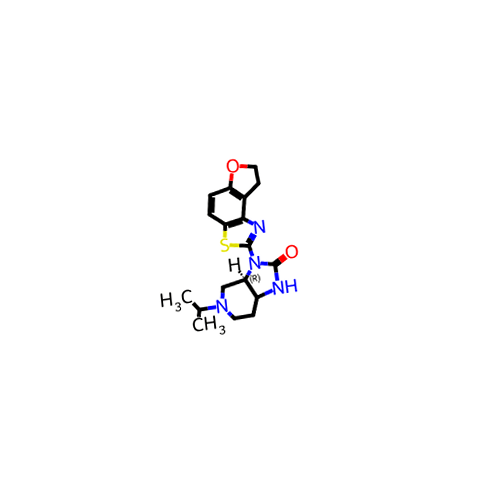 CC(C)N1CCC2NC(=O)N(c3nc4c5c(ccc4s3)OCC5)[C@@H]2C1